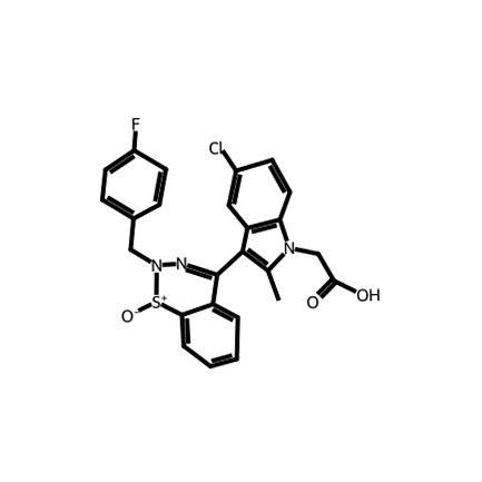 Cc1c(C2=NN(Cc3ccc(F)cc3)[S+]([O-])c3ccccc32)c2cc(Cl)ccc2n1CC(=O)O